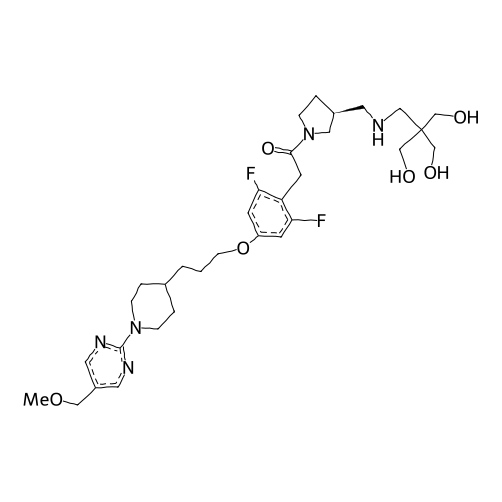 COCc1cnc(N2CCC(CCCOc3cc(F)c(CC(=O)N4CC[C@@H](CNCC(CO)(CO)CO)C4)c(F)c3)CC2)nc1